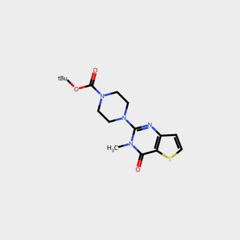 Cn1c(N2CCN(C(=O)OC(C)(C)C)CC2)nc2ccsc2c1=O